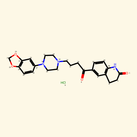 Cl.O=C1CCc2cc(C(=O)CCCN3CCN(c4ccc5c(c4)OCO5)CC3)ccc2N1